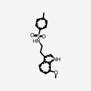 COc1cccc2c(CCNS(=O)(=O)c3ccc(C)cc3)c[nH]c12